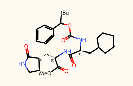 COC(=O)[C@H](C[C@@H]1CCNC1=O)NC(=O)[C@H](CC1CCCCC1)NC(=O)OC(c1ccccc1)C(C)(C)C